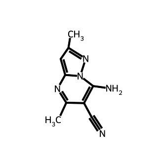 Cc1cc2nc(C)c(C#N)c(N)n2n1